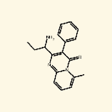 CCC(N)c1nc2cccc(C)n2c(=O)c1-c1ccccc1